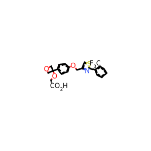 O=C(O)COC1(c2ccc(OCc3csc(-c4ccccc4C(F)(F)F)n3)cc2)COC1